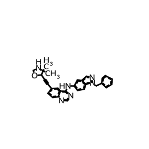 CC1(C)NCOC1C#Cc1ccc2ncnc(Nc3ccc4c(cnn4Cc4ccccc4)c3)c2c1